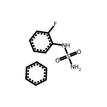 NS(=O)(=O)Nc1ccccc1F.c1ccccc1